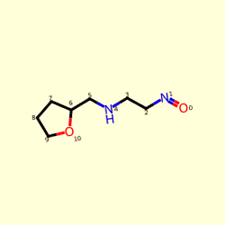 O=NCCNCC1CCCO1